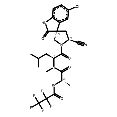 CC(C)C[C@@H](C(=O)N1C[C@]2(C[C@H]1C#N)C(=O)Nc1ccc(Cl)cc12)N(C)C(=O)[C@H](C)NC(=O)C(F)(F)C(F)(F)F